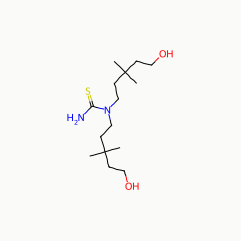 CC(C)(CCO)CCN(CCC(C)(C)CCO)C(N)=S